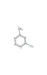 Cc1[c]c(Cl)[c]cc1